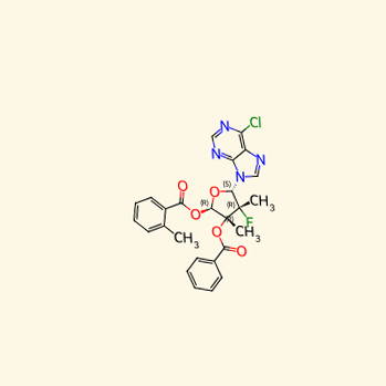 Cc1ccccc1C(=O)O[C@H]1O[C@H](n2cnc3c(Cl)ncnc32)[C@](C)(F)[C@]1(C)OC(=O)c1ccccc1